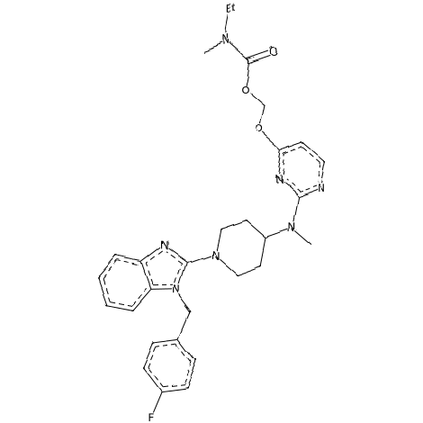 CCN(C)C(=O)OCOc1ccnc(N(C)C2CCN(c3nc4ccccc4n3Cc3ccc(F)cc3)CC2)n1